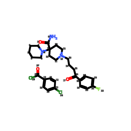 NC(=O)C1(N2CCCCC2)CCN(CCCC(=O)c2ccc(F)cc2)CC1.O=C(Cl)c1ccc(Cl)cc1